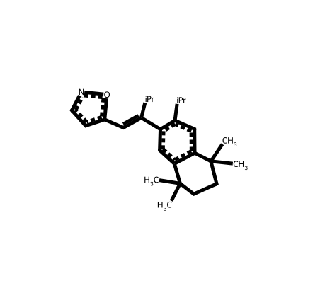 CC(C)C(=Cc1ccno1)c1cc2c(cc1C(C)C)C(C)(C)CCC2(C)C